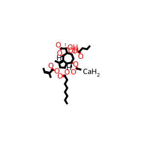 C/C=C(/C)C(=O)O[C@H]1C(C)=C2[C@H]([C@@H]1OC(=O)CCCCCCC)[C@@](C)(OC(C)=O)C[C@H](OC(=O)CCC)[C@@]1(O)[C@H]2OC(=O)[C@@]1(C)O.[CaH2]